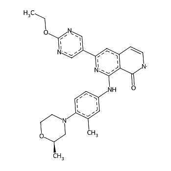 CCOc1ncc(-c2cc3c(c(Nc4ccc(N5CCO[C@H](C)C5)c(C)c4)n2)C(=O)[N]C=C3)cn1